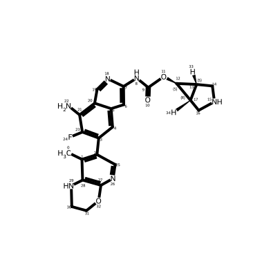 Cc1c(-c2cc3cc(NC(=O)O[C@H]4[C@@H]5CNC[C@@H]54)ncc3c(N)c2F)cnc2c1NCCO2